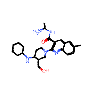 Cc1ccc2nc(N3CCC(NC4CCCCC4)C(CO)C3)c(C(=O)NC(C)N)cc2c1